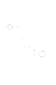 O=C(CNC(=O)c1cc(F)cc(C(F)(F)F)c1)NC1CN([C@H]2CC[C@@](O)(c3cncs3)CC2)C1